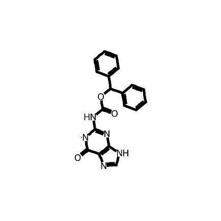 O=C(NC1=Nc2[nH]cnc2C(=O)[N]1)OC(c1ccccc1)c1ccccc1